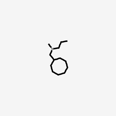 CCCN(C)CC1CCCCCCC1